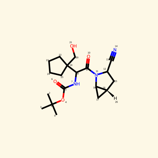 CC(C)(C)OC(=O)NC(C(=O)N1C(C#N)C[C@@H]2CC21)C1(CO)CCCC1